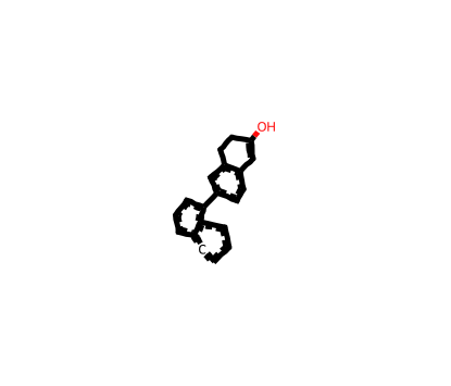 OC1=Cc2ccc(-c3cccc4ccccc34)cc2CC1